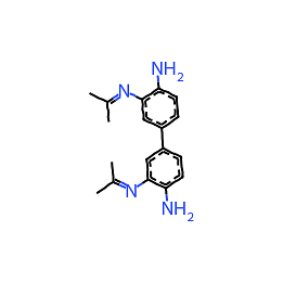 CC(C)=Nc1cc(-c2ccc(N)c(N=C(C)C)c2)ccc1N